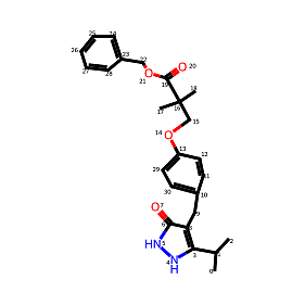 CC(C)c1[nH][nH]c(=O)c1Cc1ccc(OCC(C)(C)C(=O)OCc2ccccc2)cc1